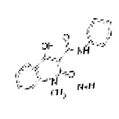 Cn1c(=O)c(C(=O)Nc2ccccc2)c(O)c2ccccc21.[NaH]